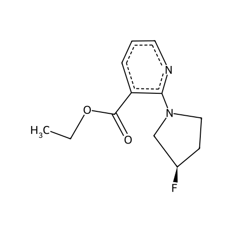 CCOC(=O)c1cccnc1N1CC[C@@H](F)C1